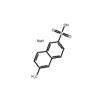 Cc1ccc2cc(S(=O)(=O)O)ccc2c1.[NaH]